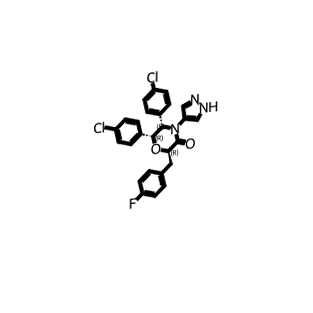 O=C1[C@@H](Cc2ccc(F)cc2)O[C@H](c2ccc(Cl)cc2)[C@H](c2ccc(Cl)cc2)N1c1cn[nH]c1